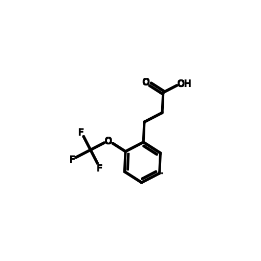 O=C(O)CCc1c[c]ccc1OC(F)(F)F